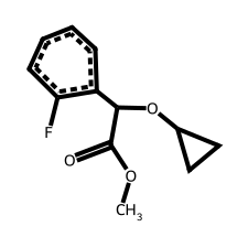 COC(=O)C(OC1CC1)c1ccccc1F